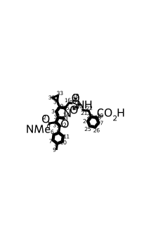 CNC(=O)c1c(-c2ccc(C)cc2)oc2nc(CS(=O)(=O)NCCc3ccccc3C(=O)O)c(C3CC3)cc12